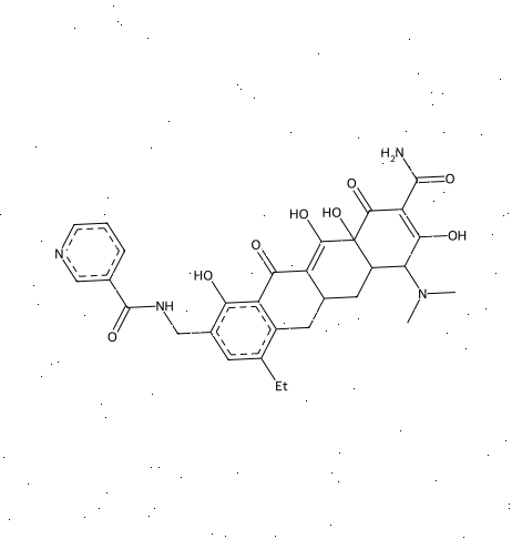 CCc1cc(CNC(=O)c2cccnc2)c(O)c2c1CC1CC3C(N(C)C)C(O)=C(C(N)=O)C(=O)C3(O)C(O)=C1C2=O